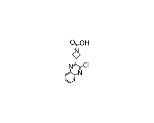 O=C(O)N1CC(c2nc3ccccc3nc2Cl)C1